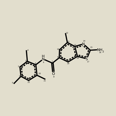 Cc1cc(C)c(NC(=O)c2cc(C)c3nc(N)sc3c2)c(C)c1